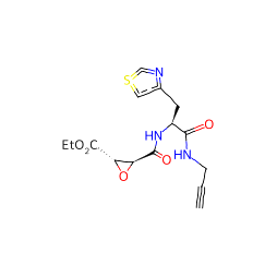 C#CCNC(=O)[C@H](Cc1cscn1)NC(=O)[C@H]1O[C@@H]1C(=O)OCC